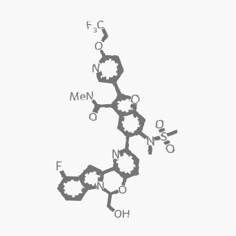 CNC(=O)c1c(-c2ccc(OCC(F)(F)F)nc2)oc2cc(N(C)S(C)(=O)=O)c(-c3ccc4c(n3)-c3cc5c(F)cccc5n3C(CO)O4)cc12